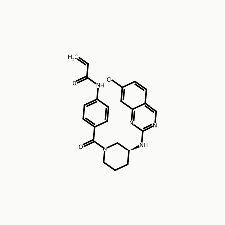 C=CC(=O)Nc1ccc(C(=O)N2CCC[C@H](Nc3ncc4ccc(Cl)cc4n3)C2)cc1